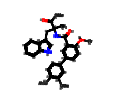 COC(=O)C(C)(Cc1c[nH]c2ccccc12)NC(=O)c1cc(-c2ccc(OC)c(OC)c2)ccc1OC(C)C